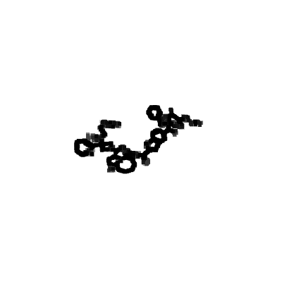 CCCOC(=O)[C@H](C)NP(=O)(Oc1ccccc1)C(F)c1ccc2sc(C(=O)N[C@H]3CCCC[C@H]4CC[C@@H](C(=O)N5CC(NCCOC)(c6ccccn6)C5)N4C3=O)cc2c1